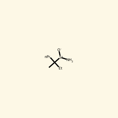 CCCC(C)(CC)[S+](N)[O-]